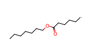 [CH2]CCCCC(=O)OCCCCCCC